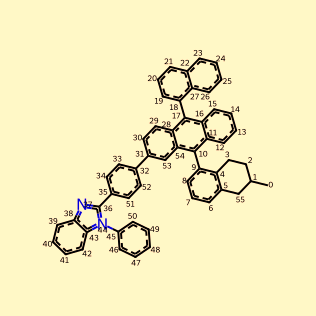 CC1CCc2c(cccc2-c2c3ccccc3c(-c3cccc4ccccc34)c3ccc(-c4ccc(-c5nc6ccccc6n5-c5ccccc5)cc4)cc23)C1